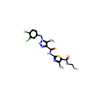 CCNC(=O)c1sc(NC(=O)c2nnn(Cc3ccc(Cl)c(Cl)c3)c2C)nc1C